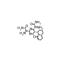 Cc1nc(N(N)C(N)=O)nc(N(N)C(N)=O)c1-c1cccc2ccccc12